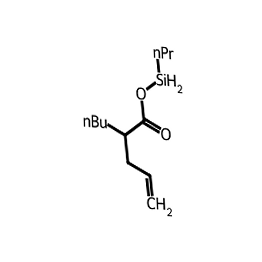 C=CCC(CCCC)C(=O)O[SiH2]CCC